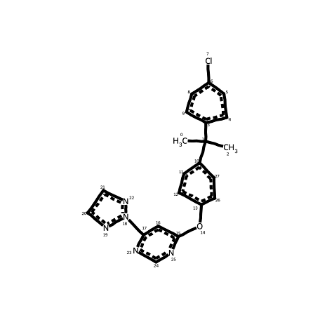 CC(C)(c1ccc(Cl)cc1)c1ccc(Oc2cc(-n3nccn3)ncn2)cc1